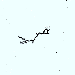 CCCCCC(C)(O)CCCC(C)CCCC(C)CCC1=CC(O)C(C)C(C)C1